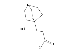 Cl.O=C(Cl)CCC12CCN(CC1)CC2